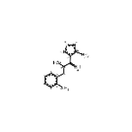 Cc1ccccc1CN(O)C(=N)c1nonc1N